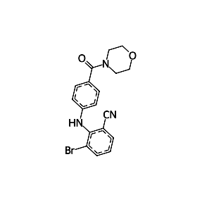 N#Cc1cccc(Br)c1Nc1ccc(C(=O)N2CCOCC2)cc1